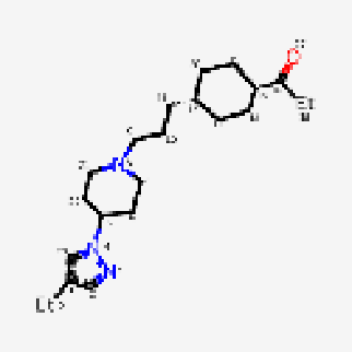 CCc1cnn(C2CCN(CCC[C@H]3CC[C@H](C(=O)CC)CC3)CC2)c1